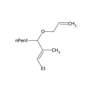 C=CCOC(CCCCC)C(C)=CCC